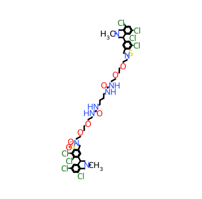 CN1Cc2c(Cl)cc(Cl)cc2C(c2cc3c(c(Cl)c2Cl)SN(CCOCCOCCNC(=O)NCCCCNC(=O)NCCOCCOCCN2Cc4cc(C5CN(C)Cc6c(Cl)cc(Cl)cc65)c(Cl)c(Cl)c4S2(=O)=O)C3)C1